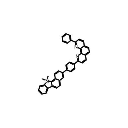 C[Si]1(C)c2ccccc2-c2ccc3cc(-c4ccc(-c5ccc6ccc7ccc(-c8ccccc8)nc7c6n5)cc4)ccc3c21